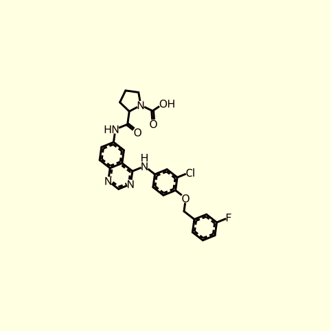 O=C(Nc1ccc2ncnc(Nc3ccc(OCc4cccc(F)c4)c(Cl)c3)c2c1)C1CCCN1C(=O)O